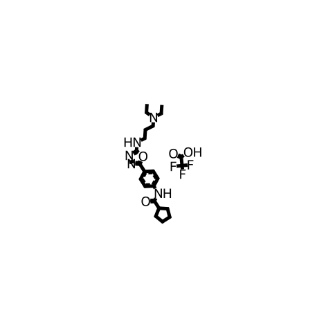 CCN(CC)CCCNc1nnc(-c2ccc(NC(=O)C3CCCC3)cc2)o1.O=C(O)C(F)(F)F